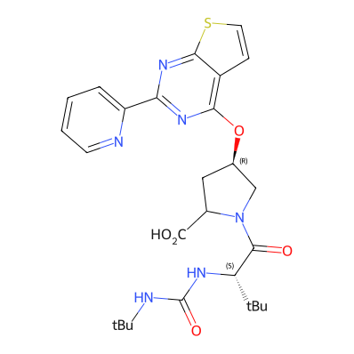 CC(C)(C)NC(=O)N[C@H](C(=O)N1C[C@H](Oc2nc(-c3ccccn3)nc3sccc23)CC1C(=O)O)C(C)(C)C